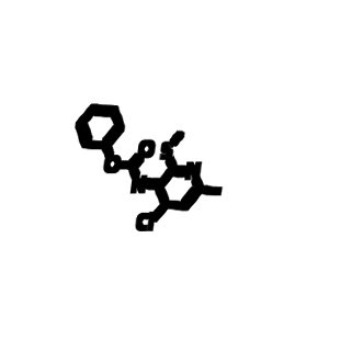 CSC1=NC(C)=CC(Cl)C1=NC(=O)Oc1ccccc1